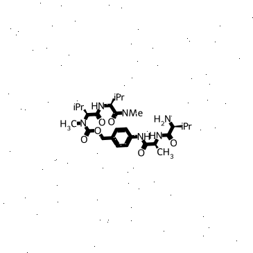 CNC(=O)[C@@H](NC(=O)[C@H](C(C)C)N(C)C(=O)OCc1ccc(NC(=O)[C@H](C)NC(=O)[C@@H](N)C(C)C)cc1)C(C)C